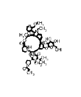 C=CC(=O)N1CC[C@H](C(=O)N(C)[C@H](C(=O)N[C@H]2Cc3cc(OC4O[C@H](CO)[C@@H](O)[C@H](O)[C@H]4O)cc(c3)-c3ccc4c(c3)c(c(-c3cccnc3COC)n4CC)CC(C)(C)COC(=O)[C@@H]3CCCN(N3)C2=O)C(C)C)C1